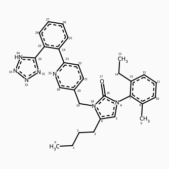 CCCCc1cn(-c2c(C)cccc2CC)c(=O)n1Cc1ccc(-c2ccccc2-c2nnn[nH]2)nc1